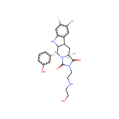 C[C@@]12CC3c4cc(Cl)c(F)cc4NC3[C@@H](c3cccc(O)c3)N1C(=O)N(CCNCCO)C2=O